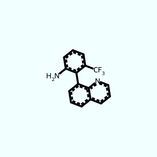 Nc1cccc(C(F)(F)F)c1-c1cccc2cccnc12